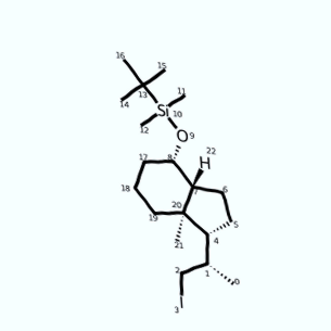 C[C@H](CI)[C@H]1CC[C@H]2[C@@H](O[Si](C)(C)C(C)(C)C)CCC[C@]12C